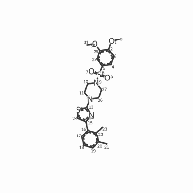 COc1ccc(S(=O)(=O)N2CCN(c3nc(-c4cccc(C)c4C)cs3)CC2)cc1OC